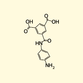 Nc1ccc(NC(=O)c2cc(C(=O)O)cc(C(=O)O)c2)cc1